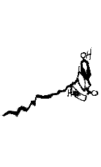 CCCCCCCCCCCCCCC(=O)N[C@@H](Cc1ccc(O)cc1)C(=O)O